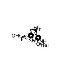 CCC1(CC)CSc2cc(O/C=C(\F)C=O)c(SC)cc2N(c2ccc(NC(=O)C(C)(C)C)cc2)C1